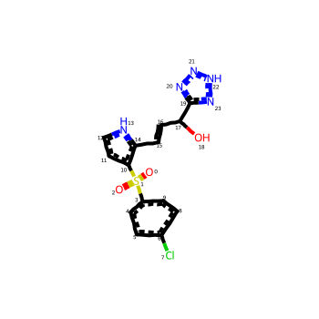 O=S(=O)(c1ccc(Cl)cc1)c1cc[nH]c1C=CC(O)c1nn[nH]n1